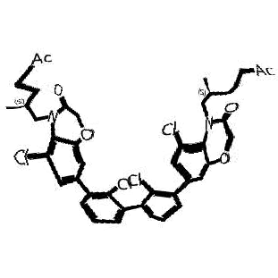 CC(=O)CC[C@H](C)CN1C(=O)COc2cc(-c3cccc(-c4cccc(-c5cc(Cl)c6c(c5)OCC(=O)N6C[C@@H](C)CCC(C)=O)c4Cl)c3Cl)cc(Cl)c21